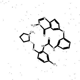 CN1CCC[C@H]1COc1ccc(C(F)(F)F)cc1NC(=O)Nc1cccc(Oc2ccc3ncn(C)c(=O)c3c2)c1